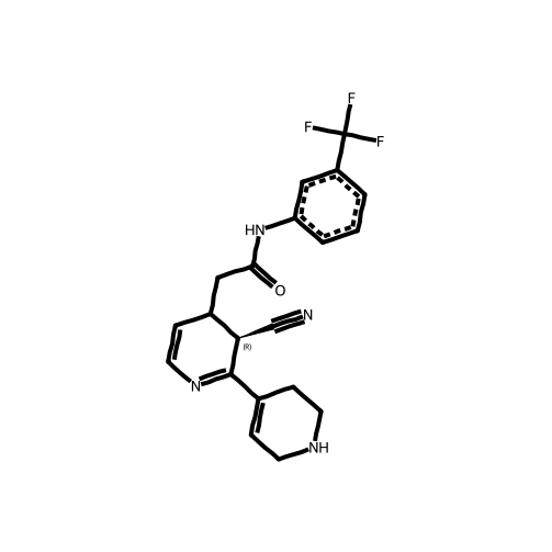 N#C[C@H]1C(C2=CCNCC2)=NC=CC1CC(=O)Nc1cccc(C(F)(F)F)c1